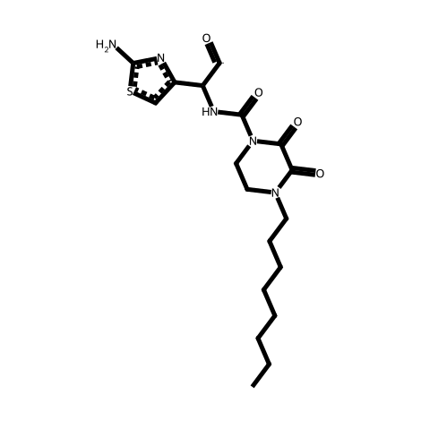 CCCCCCCCN1CCN(C(=O)NC([C]=O)c2csc(N)n2)C(=O)C1=O